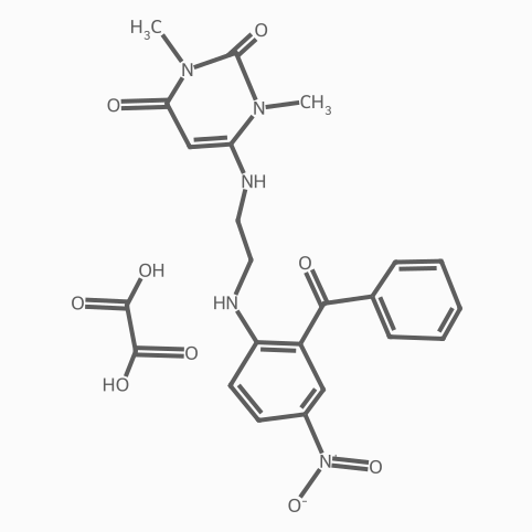 Cn1c(NCCNc2ccc([N+](=O)[O-])cc2C(=O)c2ccccc2)cc(=O)n(C)c1=O.O=C(O)C(=O)O